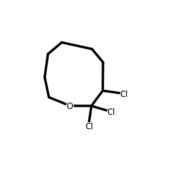 ClC1CCCCCCOC1(Cl)Cl